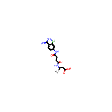 CC(CC(=O)O)NC(=O)CCC(=O)Nc1ccc(C(=N)N)c(Cl)c1